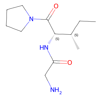 CC[C@H](C)[C@H](NC(=O)CN)C(=O)N1CCCC1